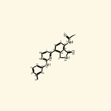 CC(=O)Nc1ccc(-c2ccnc(Nc3cccc(C)c3)n2)c2c1C(=O)NC2